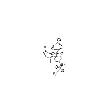 O=S(=O)(NC1CCC(c2cc(F)ccc2F)(S(=O)(=O)c2ccc(Cl)cc2)CC1)C(F)(F)F